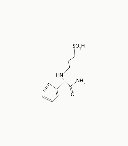 NC(=O)[C@@H](NCCCS(=O)(=O)O)c1ccccc1